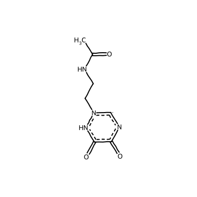 CC(=O)NCCn1[c]nc(=O)c(=O)[nH]1